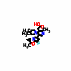 Cc1ncc(-c2cnc(OC(C)C3CC3)c(F)c2)c(N2CCC(C)(C)CC2)c1CC(=O)O